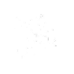 CC(C)(C)c1ccc2c(c1)c1cc(C(C)(C)C)ccc1n2-c1cc(-c2ccccc2)cc(C#N)c1-c1ccccc1